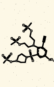 C#Cc1cc([N+](=O)[O-])cc(S(=O)(=O)N2CCN(OS(C)(=O)=O)CC2)c1N(CCOS(C)(=O)=O)CCOS(C)(=O)=O